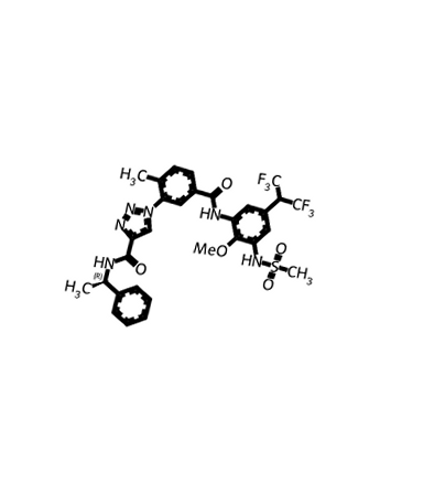 COc1c(NC(=O)c2ccc(C)c(-n3cc(C(=O)N[C@H](C)c4ccccc4)nn3)c2)cc(C(C(F)(F)F)C(F)(F)F)cc1NS(C)(=O)=O